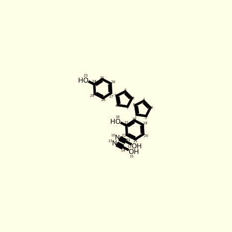 C1=CCC=C1.C1=CCC=C1.N#CO.N#CO.Oc1ccccc1.Oc1ccccc1